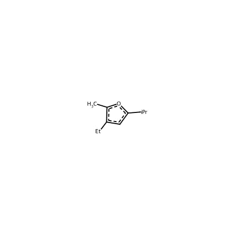 CCc1cc(C(C)C)oc1C